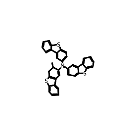 CC1Cc2sc3ccccc3c2C=C1N(c1ccc2sc3ccccc3c2c1)c1ccc2sc3ccccc3c2c1